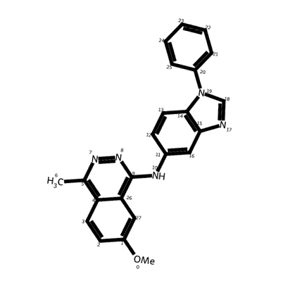 COc1ccc2c(C)nnc(Nc3ccc4c(c3)ncn4-c3ccccc3)c2c1